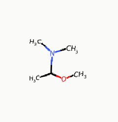 COC(C)N(C)C